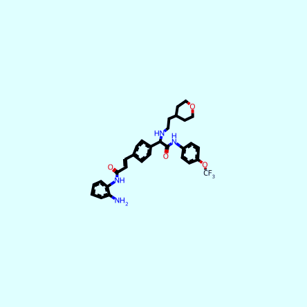 Nc1ccccc1NC(=O)/C=C/c1ccc(C(NCCC2CCOCC2)C(=O)Nc2ccc(OC(F)(F)F)cc2)cc1